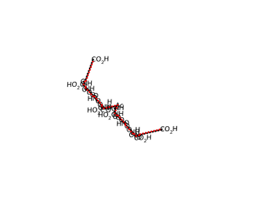 CC(=O)[C@H](CCCCNC(=O)CC[C@H](NC(=O)COCCOCCNC(=O)COCCOCCNC(=O)CC[C@H](NC(=O)CCCCCCCCCCCCCCCCC(=O)O)C(=O)O)C(=O)O)NC(=O)CC[C@H](NC(=O)COCCOCCNC(=O)COCCOCCNC(=O)CC[C@H](NC(=O)CCCCCCCCCCCCCCCCC(=O)O)C(=O)O)C(=O)O